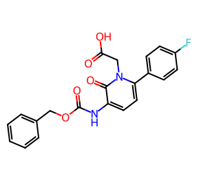 O=C(O)Cn1c(-c2ccc(F)cc2)ccc(NC(=O)OCc2ccccc2)c1=O